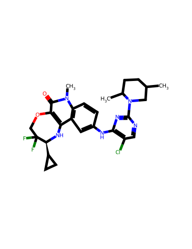 CC1CCC(C)N(c2ncc(Cl)c(Nc3ccc4c(c3)c3c(c(=O)n4C)OCC(F)(F)[C@H](C4CC4)N3)n2)C1